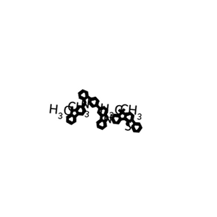 CC1(C)c2ccccc2-c2ccc(-n3c4ccccc4c4ccc(-c5ccc6c(c5)c5ccccc5n6-c5ccc6c(c5)C(C)(C)c5ccc7c(sc8ccccc87)c5-6)cc43)cc21